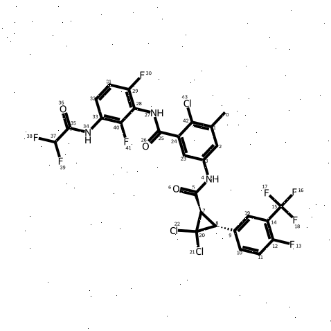 Cc1cc(NC(=O)[C@H]2[C@H](c3ccc(F)c(C(F)(F)F)c3)C2(Cl)Cl)cc(C(=O)Nc2c(F)ccc(NC(=O)C(F)F)c2F)c1Cl